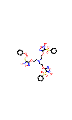 O=S(=O)(c1ccccc1)c1c(OCCN(CCOc2no[n+]([O-])c2SOOc2ccccc2)CCOc2no[n+]([O-])c2S(=O)(=O)c2ccccc2)no[n+]1[O-]